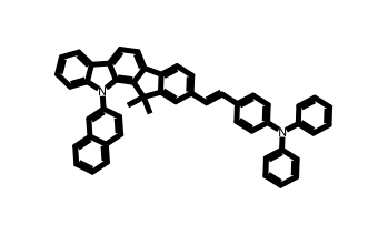 CC1(C)c2cc(/C=C/c3ccc(N(c4ccccc4)c4ccccc4)cc3)ccc2-c2ccc3c4ccccc4n(-c4ccc5ccccc5c4)c3c21